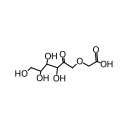 O=C(O)COCC(=O)C(O)C(O)C(O)CO